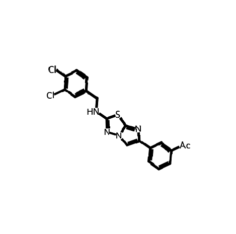 CC(=O)c1cccc(-c2cn3nc(NCc4ccc(Cl)c(Cl)c4)sc3n2)c1